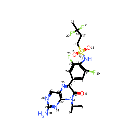 CC(C)n1c(=O)c(-c2cc(F)c(NS(=O)(=O)CCC(C)(F)F)c(F)c2)nc2cnc(N)nc21